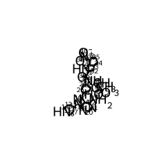 CC(=O)O.COc1cc(-c2nn(C3CCNCC3)c3ncnc(N)c23)ccc1NC(=O)c1cc2cccc([N+](=O)[O-])c2[nH]1